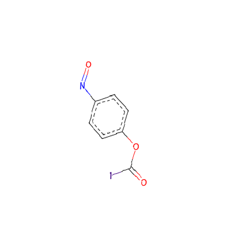 O=Nc1ccc(OC(=O)I)cc1